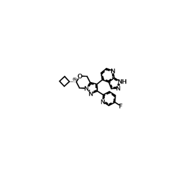 Fc1ccc(-c2nn3c(c2-c2ccnc4[nH]ncc24)CO[C@@H](C2CCC2)C3)nc1